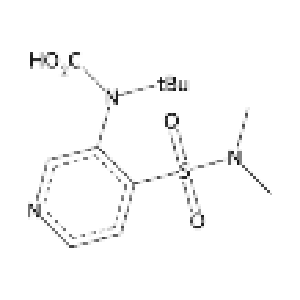 CN(C)S(=O)(=O)c1ccncc1N(C(=O)O)C(C)(C)C